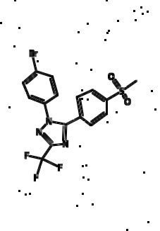 CS(=O)(=O)c1ccc(-c2nc(C(F)(F)F)nn2-c2ccc(Br)cc2)cc1